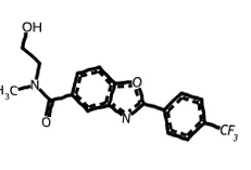 CN(CCO)C(=O)c1ccc2oc(-c3ccc(C(F)(F)F)cc3)nc2c1